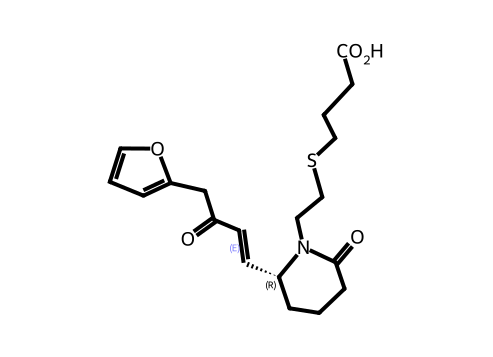 O=C(O)CCCSCCN1C(=O)CCC[C@@H]1/C=C/C(=O)Cc1ccco1